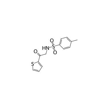 Cc1ccc(S(=O)(=O)NCC(=O)c2cccs2)cc1